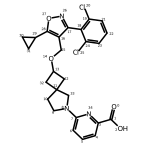 O=C(O)c1cccc(N2CCC3(CC(OCc4c(-c5c(Cl)cccc5Cl)noc4C4CC4)C3)C2)n1